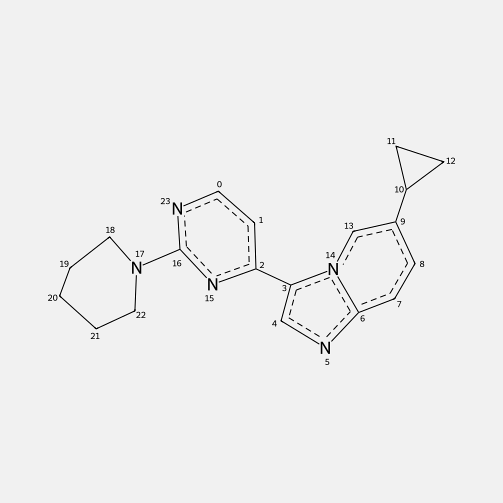 c1cc(-c2cnc3ccc(C4CC4)cn23)nc(N2CCCCC2)n1